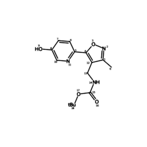 Cc1noc(-c2ccc(O)cn2)c1CNC(=O)OC(C)(C)C